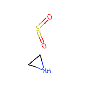 C1CN1.O=S=O